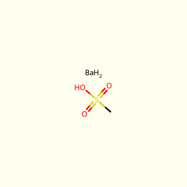 CS(=O)(=O)O.[BaH2]